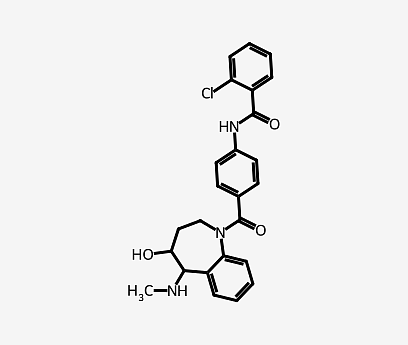 CNC1c2ccccc2N(C(=O)c2ccc(NC(=O)c3ccccc3Cl)cc2)CCC1O